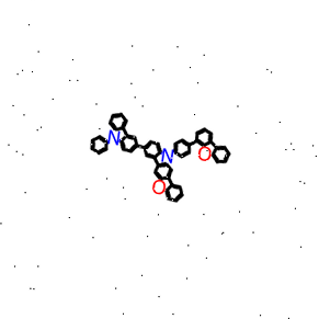 c1ccc(-n2c3ccccc3c3cc(-c4ccc5c(c4)c4cc6oc7ccccc7c6cc4n5-c4ccc(-c5cccc6c5oc5ccccc56)cc4)ccc32)cc1